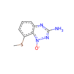 CSc1cccc2nc(N)n[n+]([O-])c12